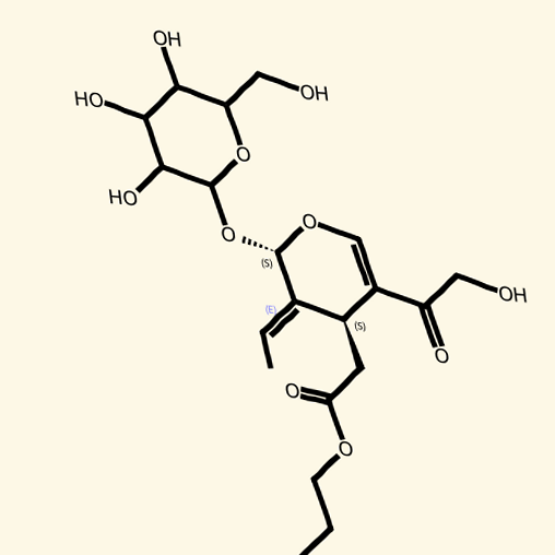 C/C=C1/[C@H](OC2OC(CO)C(O)C(O)C2O)OC=C(C(=O)CO)[C@H]1CC(=O)OCCC